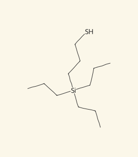 CCC[Si](CCC)(CCC)CCCS